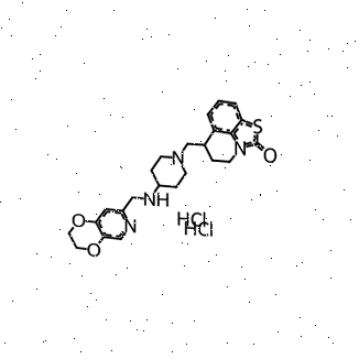 Cl.Cl.O=c1sc2cccc3c2n1CCC3CN1CCC(NCc2cc3c(cn2)OCCO3)CC1